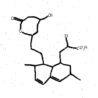 CCC(CC1CC(C)C=C2C=CC(C)C(CCC3CC(O)CC(=O)O3)C21)C(=O)O